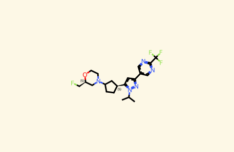 CC(C)n1nc(-c2cnc(C(F)(F)F)nc2)cc1[C@H]1CCC(N2CCO[C@H](CF)C2)C1